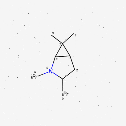 CC(C)C1CC2C(N1C(C)C)C2(C)C